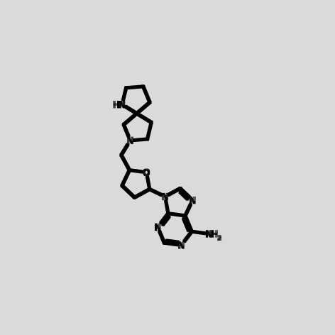 Nc1ncnc2c1ncn2C1CCC(CN2CCC3(CCCN3)C2)O1